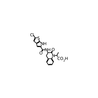 CC(C(=O)O)N1C(=O)C(NC(=O)c2cc3cc(Cl)sc3[nH]2)Cc2ccccc21